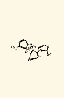 [2H]C([2H])(Oc1cccc(O)c1C=O)c1cncnc1-n1ccnc1C(C)C